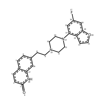 O=c1ccc2ccc(CCN3CCN(c4cc(F)cc5occc45)CC3)cc2[nH]1